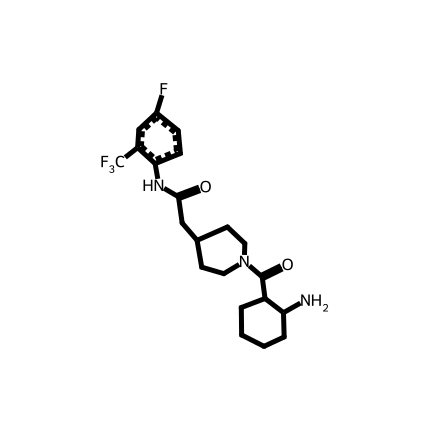 NC1CCCCC1C(=O)N1CCC(CC(=O)Nc2ccc(F)cc2C(F)(F)F)CC1